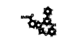 CNC(=O)C1CCCC2(CCN(c3cc(Nc4cc(OC5CCC5)ccn4)nc(-c4cccnc4)n3)C2)C1